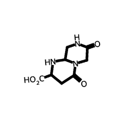 O=C1CN2C(=O)CC(C(=O)O)NC2CN1